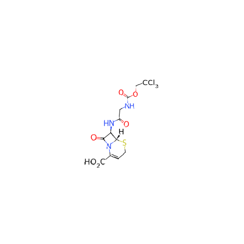 O=C(CNC(=O)OCC(Cl)(Cl)Cl)N[C@@H]1C(=O)N2C(C(=O)O)=CCS[C@@H]12